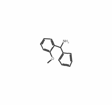 COc1ccccc1C(N)c1ccccc1